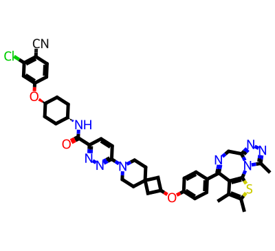 Cc1sc2c(c1C)C(c1ccc(OC3CC4(CCN(c5ccc(C(=O)N[C@H]6CC[C@H](Oc7ccc(C#N)c(Cl)c7)CC6)nn5)CC4)C3)cc1)=NCc1nnc(C)n1-2